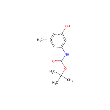 Cc1cc(O)cc(NC(=O)OC(C)(C)C)c1